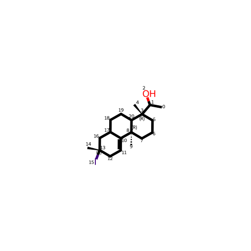 CC(O)[C@]1(C)CCC[C@@]2(C)C3=CC[C@](C)(I)CC3CCC12